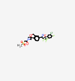 CS(=O)(=O)CC(=O)N1CC2(C1)OCc1cc(C3=NO[C@@](c4ccc(F)c(Cl)c4)(C(F)(F)F)C3)ccc12